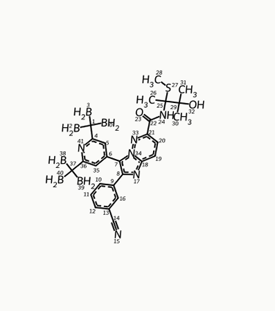 BC(B)(B)c1cc(-c2c(-c3cccc(C#N)c3)nc3ccc(C(=O)NC(C)(SC)C(C)(C)O)nn23)cc(C(B)(B)B)n1